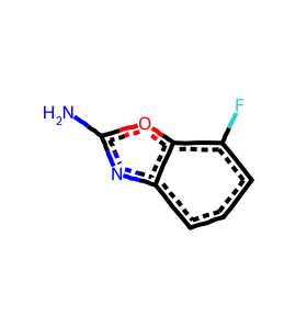 Nc1nc2cccc(F)c2o1